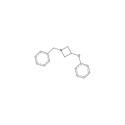 c1ccc(CN2CC(Oc3ccccc3)C2)cc1